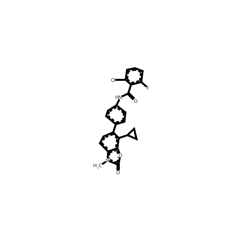 Cn1c(=O)oc2c(C3CC3)c(-c3ccc(NC(=O)c4c(F)cccc4Cl)cc3)ccc21